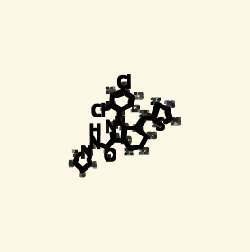 O=C(NN1CCCC1)c1nn(-c2ccc(Cl)cc2Cl)c2c1CCC/C2=C\c1cccs1